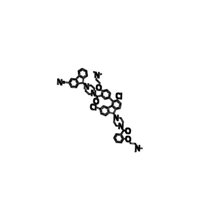 CN(C)CCOc1ccc(-c2c(Cl)ccc3c2-c2cc(Cl)ccc2C3N2CCN(C(=O)c3ccccc3OCCN(C)C)CC2)cc1C(=O)N1CCN(C2c3ccccc3-c3cc(C#N)ccc32)CC1